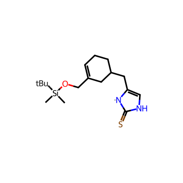 CC(C)(C)[Si](C)(C)OCC1=CCCC(CC2=CNC(=S)[N]2)C1